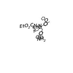 CCOC(=O)c1csc(-n2nc(-c3ccc(C)c(OC4CCCC4)c3)c(Cc3ccc(S(N)(=O)=O)cc3)c2CC2CC2)n1